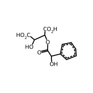 O=C(OC(C(=O)O)C(O)C(=O)O)C(O)c1ccccc1